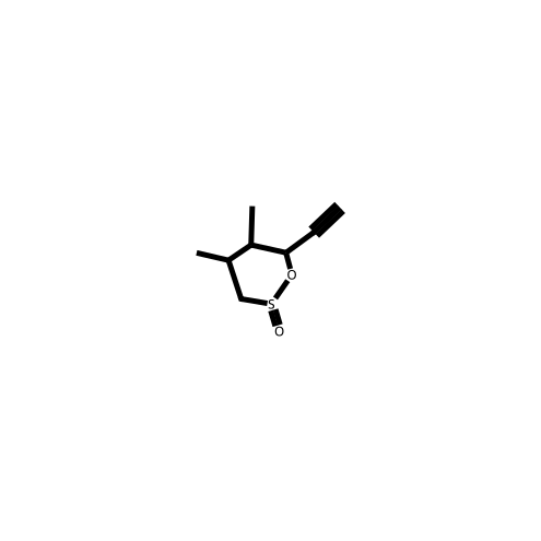 C#CC1OS(=O)CC(C)C1C